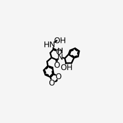 O=C(CC(Cc1ccc2c(c1)OCO2)C(=O)NC1c2ccccc2CC1O)NO